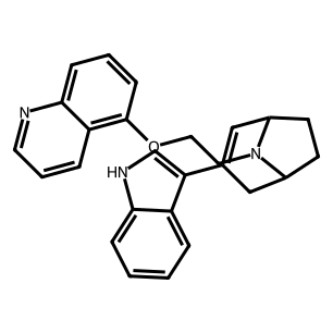 C1=C(c2c[nH]c3ccccc23)CC2CCC1N2CCOc1cccc2ncccc12